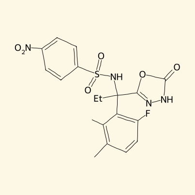 CCC(NS(=O)(=O)c1ccc([N+](=O)[O-])cc1)(c1n[nH]c(=O)o1)c1c(F)ccc(C)c1C